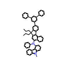 CCCC1(CCC)c2cc(-c3cc(-c4ccccc4)cc(-c4ccccc4)c3)ccc2-c2c1cc(N(c1ccccc1)c1cccc3c1c1ccccc1n3C)c1ccccc21